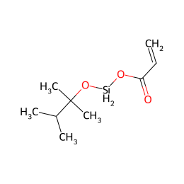 C=CC(=O)O[SiH2]OC(C)(C)C(C)C